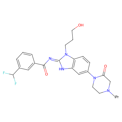 CC(C)N1CCN(c2ccc3c(c2)[nH]/c(=N\C(=O)c2cccc(C(F)F)c2)n3CCCO)C(=O)C1